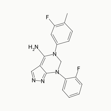 Cc1ccc(N2CN(c3ccccc3F)C3=NN=CC3=C2N)cc1F